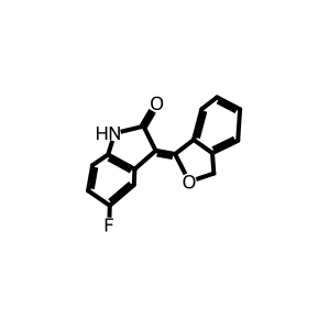 O=C1Nc2ccc(F)cc2/C1=C1\OCc2ccccc21